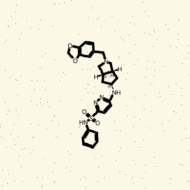 O=S(=O)(Nc1ccccc1)c1ccc(N[C@@H]2C[C@@H]3CN(Cc4ccc5c(c4)OCO5)C[C@@H]3C2)nn1